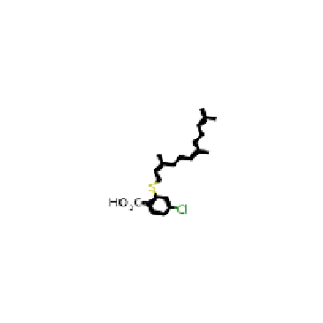 CC(C)=CCCC(C)=CCCC(C)=CCSc1cc(Cl)ccc1C(=O)O